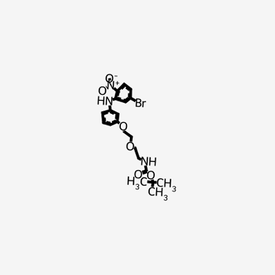 CC(C)(C)OC(=O)NCCOCCOc1cccc(Nc2cc(Br)ccc2[N+](=O)[O-])c1